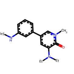 CCN(CC)c1cc(-c2cccc(NSC)c2)cn(C)c1=O